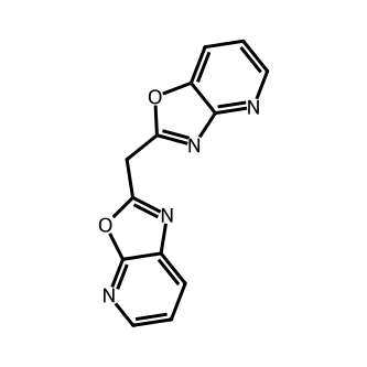 c1cnc2oc(Cc3nc4ncccc4o3)nc2c1